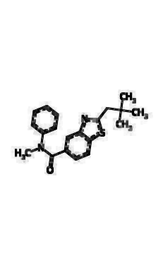 CN(C(=O)c1ccc2sc(CC(C)(C)C)nc2c1)c1ccccc1